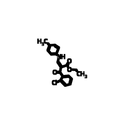 CCOC(=O)C(=CNc1ccc(C)cc1)C(=O)c1ccccc1Cl